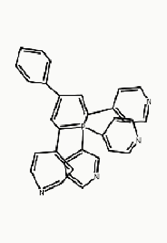 C1=C(c2ccccc2)C=C(c2ccncc2)P(c2ccncc2)(c2cccnc2)=C1c1ccncc1